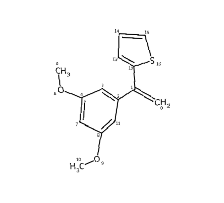 C=C(c1cc(OC)cc(OC)c1)c1cccs1